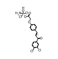 NP(O)(Cl)(Cl)OC(=O)COc1ccc(/C=C/C(=O)c2ccc(Cl)c(Cl)c2)cc1